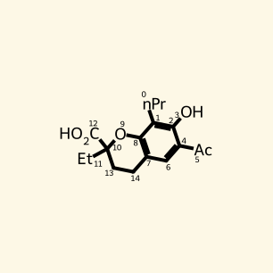 CCCc1c(O)c(C(C)=O)cc2c1OC(CC)(C(=O)O)CC2